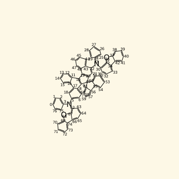 c1ccc(N(c2ccc3c4c(c5ccccc5c3c2)-c2c(cc(N(c3ccccc3)c3cccc5c3oc3ccccc35)c3ccccc23)C42c3ccccc3-c3ccccc32)c2cccc3c2oc2ccccc23)cc1